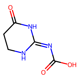 O=C(O)N=C1NCCC(=O)N1